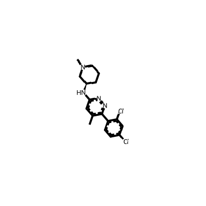 Cc1cc(N[C@@H]2CCCN(C)C2)nnc1-c1ccc(Cl)cc1Cl